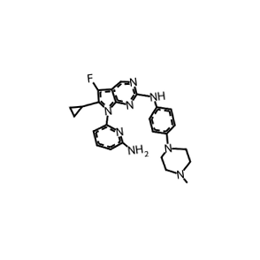 CN1CCN(c2ccc(Nc3ncc4c(F)c(C5CC5)n(-c5cccc(N)n5)c4n3)cc2)CC1